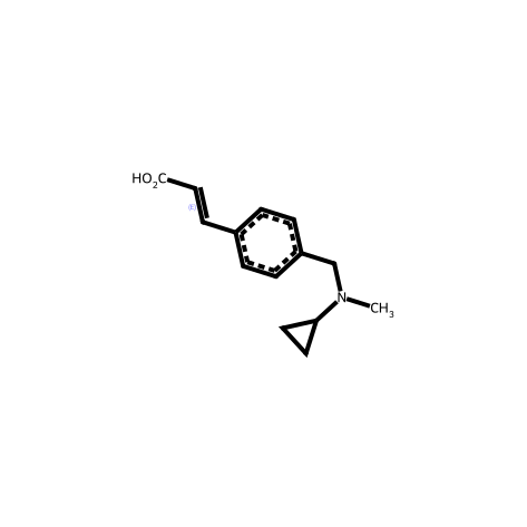 CN(Cc1ccc(/C=C/C(=O)O)cc1)C1CC1